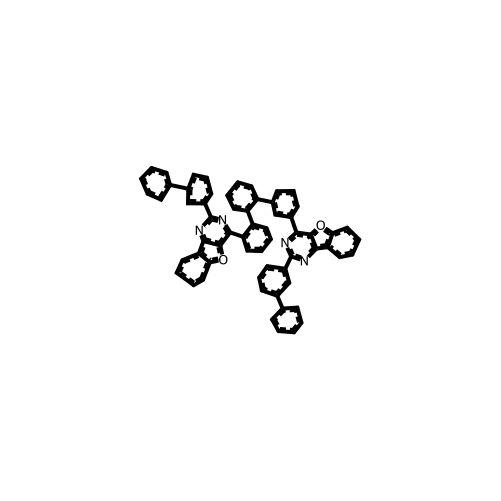 c1ccc(-c2cccc(-c3nc(-c4cccc(-c5ccccc5-c5ccccc5-c5nc(-c6cccc(-c7ccccc7)c6)nc6c5oc5ccccc56)c4)c4oc5ccccc5c4n3)c2)cc1